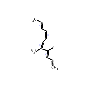 C=C/C=C(I)/C(N)=C\C=C/C=C/C